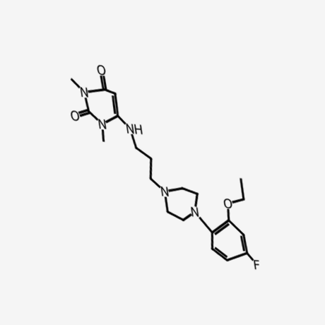 CCOc1cc(F)ccc1N1CCN(CCCNc2cc(=O)n(C)c(=O)n2C)CC1